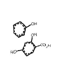 O=C(O)c1ccc(O)cc1O.Oc1ccccc1